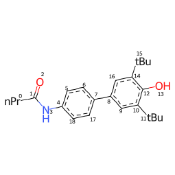 CCCC(=O)Nc1ccc(-c2cc(C(C)(C)C)c(O)c(C(C)(C)C)c2)cc1